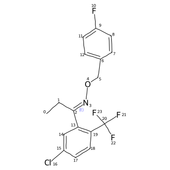 CC/C(=N\OCc1ccc(F)cc1)c1cc(Cl)ccc1C(F)(F)F